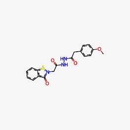 COc1ccc(CC(=O)NNC(=O)Cn2sc3ccccc3c2=O)cc1